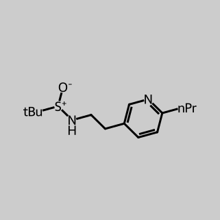 CCCc1ccc(CCN[S+]([O-])C(C)(C)C)cn1